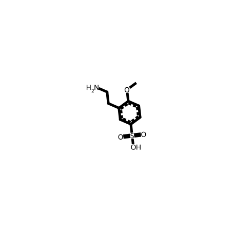 COc1ccc(S(=O)(=O)O)cc1CCN